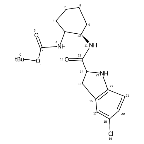 CC(C)(C)OC(=O)NC1CCCC[C@H]1NC(=O)C1Cc2cc(Cl)ccc2N1